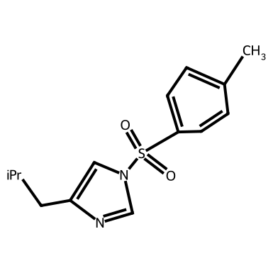 Cc1ccc(S(=O)(=O)n2cnc(CC(C)C)c2)cc1